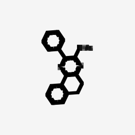 CC(=O)Nc1nc2c(nc1-c1ccccc1)-c1ccccc1CC2